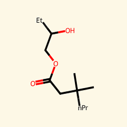 CCCC(C)(C)CC(=O)OCC(O)CC